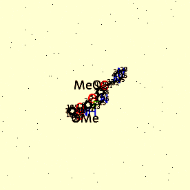 COc1cc2c(Oc3ccc(NS(=O)(=O)c4ccccc4OC)cc3F)ccnc2cc1OCCCN1CCN(C)CC1